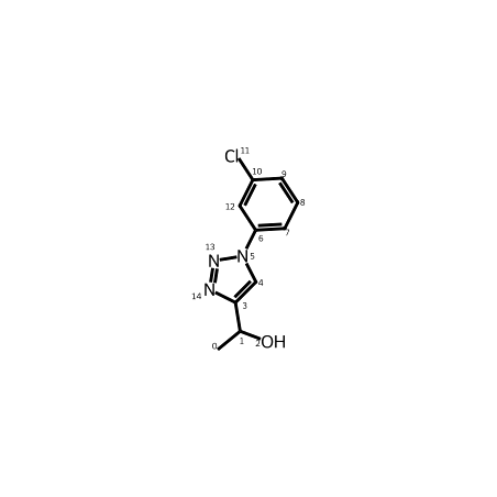 CC(O)c1cn(-c2cccc(Cl)c2)nn1